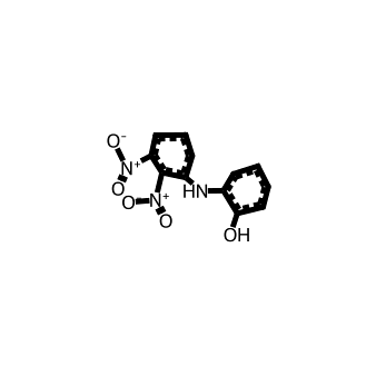 O=[N+]([O-])c1cccc(Nc2ccccc2O)c1[N+](=O)[O-]